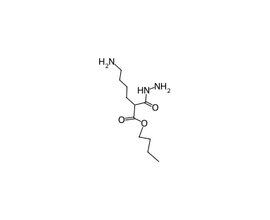 CCCCOC(=O)C(CCCCN)C(=O)NN